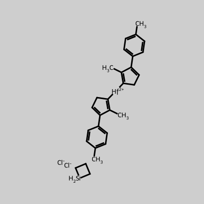 C1C[SiH2]C1.CC1=[C]([Hf+2][C]2=C(C)C(c3ccc(C)cc3)=CC2)CC=C1c1ccc(C)cc1.[Cl-].[Cl-]